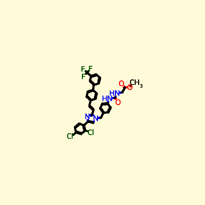 COC(=O)CNC(=O)Nc1ccc(Cn2cc(-c3ccc(Cl)cc3Cl)nc2/C=C/c2ccc(-c3cccc(C(F)(F)F)c3)cc2)cc1